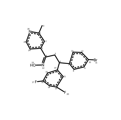 Cc1cc(/C(CC(c2ccc(Br)cc2)c2cc(F)cc(F)c2)=N\O)ccn1